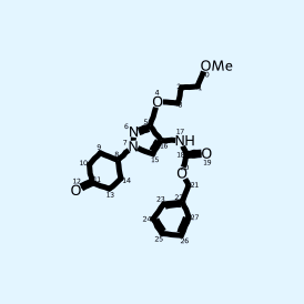 COCCCOc1nn(C2CCC(=O)CC2)cc1NC(=O)OCc1ccccc1